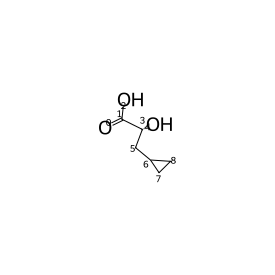 O=C(O)[C@H](O)CC1CC1